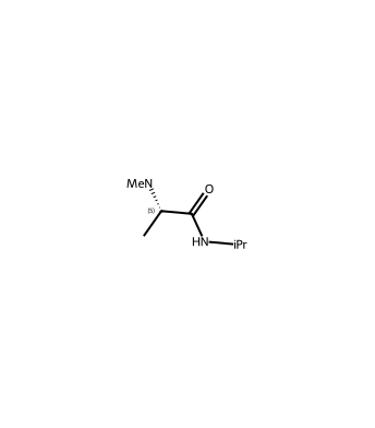 CN[C@@H](C)C(=O)NC(C)C